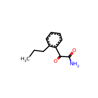 CCCc1ccccc1C(=O)C(N)=O